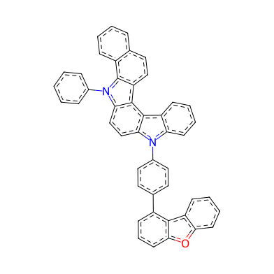 c1ccc(-n2c3ccc4c(c5ccccc5n4-c4ccc(-c5cccc6oc7ccccc7c56)cc4)c3c3ccc4ccccc4c32)cc1